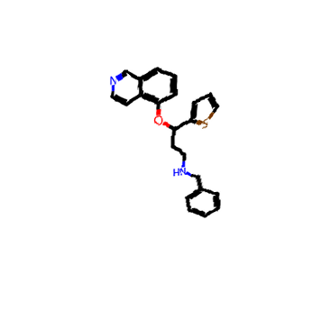 c1ccc(CNCCC(Oc2cccc3cnccc23)c2cccs2)cc1